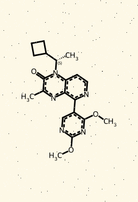 COc1ncc(-c2nccc3c2nc(C)c(=O)n3[C@@H](C)C2CCC2)c(OC)n1